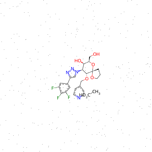 CC(=O)O.OC[C@H]1O[C@@]2(CCCO2)[C@H](OCc2ccncc2)[C@@H](n2cc(-c3cc(F)c(F)c(F)c3)nn2)[C@H]1O